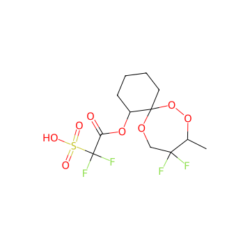 CC1OOC2(CCCCC2OC(=O)C(F)(F)S(=O)(=O)O)OCC1(F)F